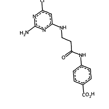 Nc1nc(Cl)cc(NCCC(=O)Nc2ccc(C(=O)O)cc2)n1